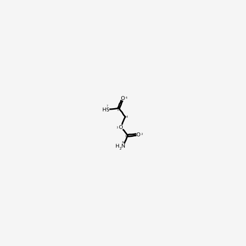 NC(=O)OCC(=O)S